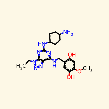 CCn1nnc2c(NCc3cc(O)c(OC)cc3O)nc(NC3CCC(N)CC3)nc21